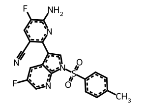 Cc1ccc(S(=O)(=O)n2cc(-c3nc(N)c(F)cc3C#N)c3cc(F)cnc32)cc1